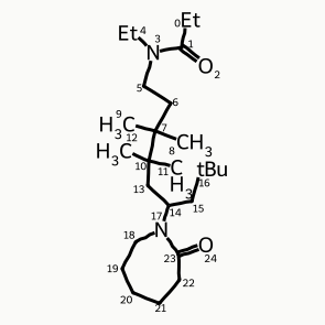 CCC(=O)N(CC)CCC(C)(C)C(C)(C)CC(CC(C)(C)C)N1CCCCCC1=O